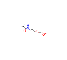 COCCOCCCNC(=O)C(C)C